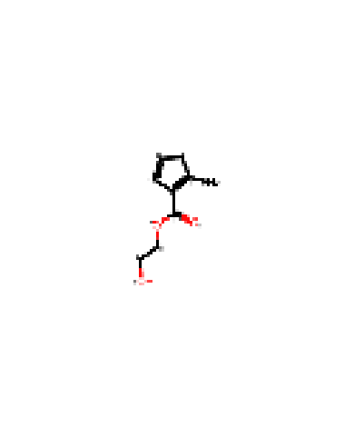 O=C(OCCO)C1=[C]([Na])CC=C1